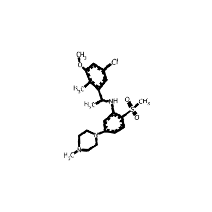 COc1cc(Cl)cc(C(C)Nc2cc(N3CCN(C)CC3)ccc2S(C)(=O)=O)c1C